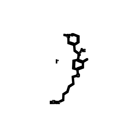 CCCCCCCCCCCCCCCCOc1ccc(N(Cc2ccc[n+](C)c2)C(C)=O)c(C)c1.[I-]